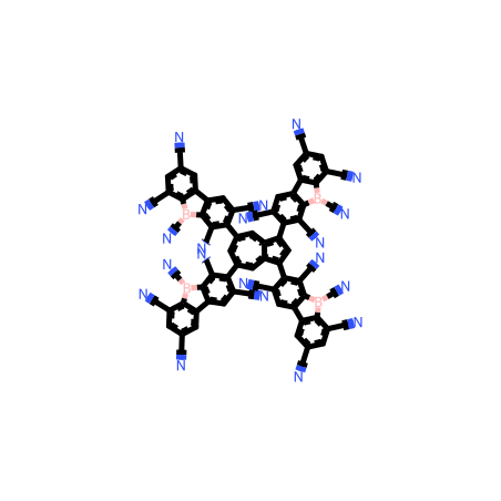 N#CB1c2c(C#N)cc(C#N)cc2-c2cc(C#N)c(-c3cc(-c4c(C#N)cc5c(c4C#N)B(C#N)c4c(C#N)cc(C#N)cc4-5)cc4c(-c5c(C#N)cc6c(c5C#N)B(C#N)c5c(C#N)cc(C#N)cc5-6)cc(-c5c(C#N)cc6c(c5C#N)B(C#N)c5c(C#N)cc(C#N)cc5-6)c-4c3)c(C#N)c21